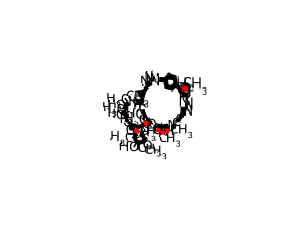 CO[C@@H]1c2ccc(cc2)-n2cc(nn2)C2CC2[C@H]2CN(C)[C@H](C)[C@@H](O)[C@](C)(O)[C@@H](I)OC(=O)[C@H](C)[C@@H](O[C@H]3C[C@@](C)(OC)[C@@H](O)[C@H](C)O3)[C@H](C)[C@@H](O[C@@H]3O[C@H](C)C[C@@H]([C@H]3O)N(C)CCc3cn(nn3)[C@@H]1CF)[C@](C)(O)C2